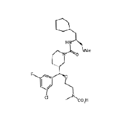 CNC[C@H](CC1CCCCC1)NC(=O)N1CCC[C@@H]([C@@H](OCCN(C)C(=O)O)c2cc(F)cc(Cl)c2)C1